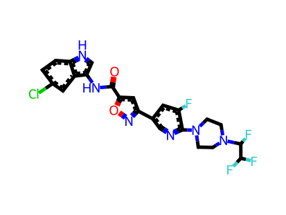 O=C(Nc1c[nH]c2ccc(Cl)cc12)c1cc(-c2cnc(N3CCN(C(F)C(F)F)CC3)c(F)c2)no1